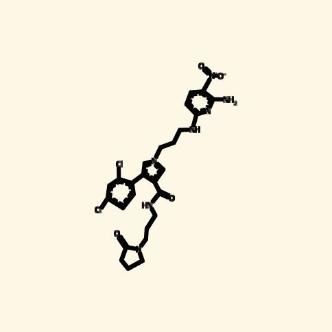 Nc1nc(NCCCn2cc(C(=O)NCCCN3CCCC3=O)c(-c3ccc(Cl)cc3Cl)c2)ccc1[N+](=O)[O-]